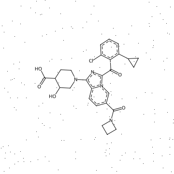 O=C(c1c(Cl)cccc1C1CC1)c1nc(N2CCC(C(=O)O)C(O)C2)c2ccc(C(=O)N3CCC3)cn12